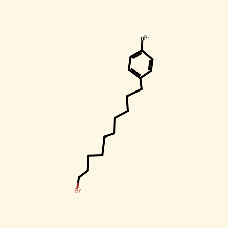 CCCc1ccc(CCCCCCCCCCBr)cc1